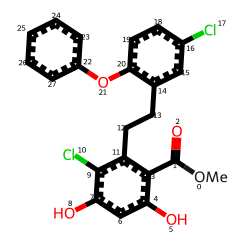 COC(=O)c1c(O)cc(O)c(Cl)c1CCc1cc(Cl)ccc1Oc1ccccc1